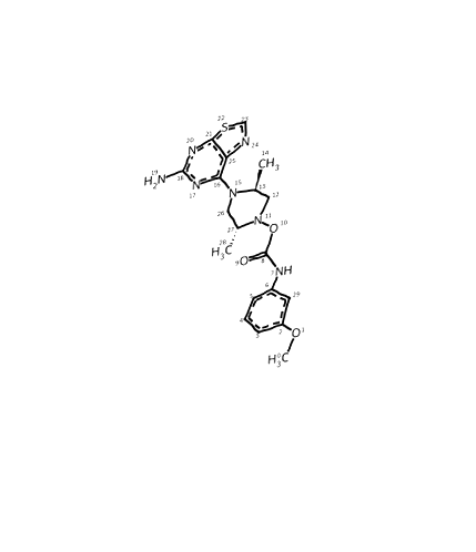 COc1cccc(NC(=O)ON2C[C@H](C)N(c3nc(N)nc4scnc34)C[C@H]2C)c1